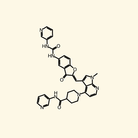 Cn1cc(/C=C2\Oc3ccc(NC(=O)Nc4cccnc4)cc3C2=O)c2c(N3CCC(C(=O)Nc4cccnc4)CC3)ccnc21